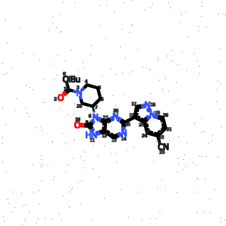 CC(C)COC(=O)N1CCC[C@H](n2c(=O)[nH]c3cnc(-c4cnn5ccc(C#N)cc45)nc32)C1